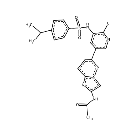 CC(=O)Nc1cn2nc(-c3cnc(Cl)c(NS(=O)(=O)c4ccc(C(C)C)cc4)c3)ccc2n1